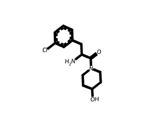 NC(Cc1cccc(Cl)c1)C(=O)N1CCC(O)CC1